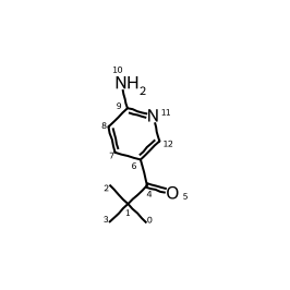 CC(C)(C)C(=O)c1ccc(N)nc1